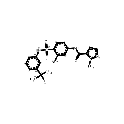 Cn1nccc1C(=O)Nc1ccc(S(=O)(=O)Nc2cccc(C(C)(C)F)c2)c(Br)c1